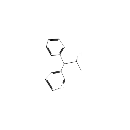 CC(O)C(c1ccccc1)c1cccnc1